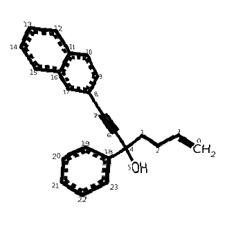 C=CCCC(O)(C#Cc1ccc2ccccc2c1)c1ccccc1